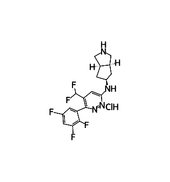 Cl.Fc1cc(F)c(F)c(-c2nnc(N[C@H]3C[C@H]4CNC[C@H]4C3)cc2C(F)F)c1